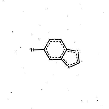 [2H]c1ccc2ncsc2c1